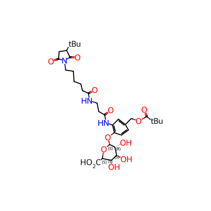 CC(C)(C)C(=O)OCc1ccc(O[C@@H]2O[C@H](C(=O)O)[C@@H](O)[C@H](O)[C@H]2O)c(NC(=O)CCNC(=O)CCCCCN2C(=O)CC(C(C)(C)C)C2=O)c1